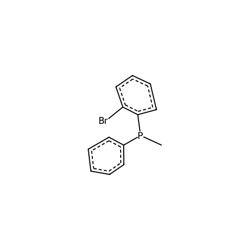 CP(c1ccccc1)c1ccccc1Br